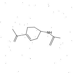 C=C(C)NC1CC=C(C(=C)C)CC1